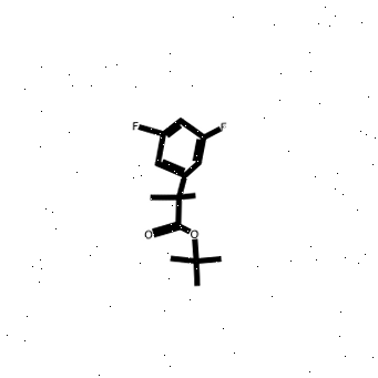 CC(C)(C)OC(=O)C(C)(C)c1cc(F)cc(F)c1